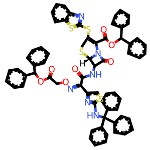 O=C(CO/N=C(\C(=O)NC1C(=O)N2C(C(=O)OC(c3ccccc3)c3ccccc3)=C(Sc3nc4ccccc4s3)CS[C@@H]12)c1csc(NC(c2ccccc2)(c2ccccc2)c2ccccc2)n1)OC(c1ccccc1)c1ccccc1